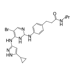 CC(C)NC(=O)CCc1ccc(NC2N=CC(Br)=C(Nc3cc(C4CC4)[nH]n3)N2)cc1